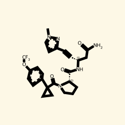 Cn1ccc(C#C[C@H](CC(N)=O)NC(=O)[C@@H]2CCCN2C(=O)C2(c3ccc(OC(F)(F)F)cc3)CC2)n1